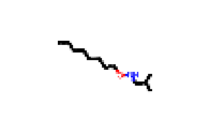 CCCCCCCCONCC(C)C